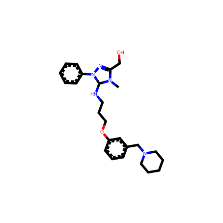 CN1C(CO)=NN(c2ccccc2)C1NCCCOc1cccc(CN2CCCCC2)c1